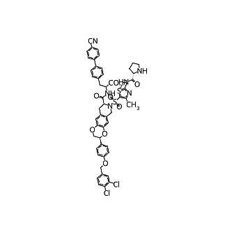 Cc1nc(NC(=O)[C@@H]2CCCN2)sc1S(=O)(=O)N1Cc2cc3c(cc2C[C@H]1C(=O)NC(Cc1ccc(-c2ccc(C#N)cc2)cc1)C(=O)O)OC[C@H](c1ccc(OCc2ccc(Cl)c(Cl)c2)cc1)O3